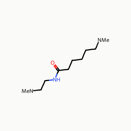 CNCCCCCC(=O)NCCNC